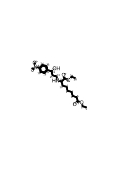 CCOC(=O)CCCCCCC(NCCC(O)c1ccc([N+](=O)[O-])cc1)C(=O)OCC